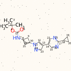 CC(C)(C)OC(=O)NC12CC(n3cc(-c4cnc(C5CC5)nc4)cn3)(C1)C2